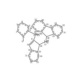 Cc1ccccc1PC1=Cc2ccccc2[CH]1[Hf][CH]1c2ccccc2-c2ccccc21